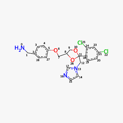 NCc1ccc(OCC2COC(Cn3ccnc3)(c3ccc(Cl)cc3Cl)O2)cc1